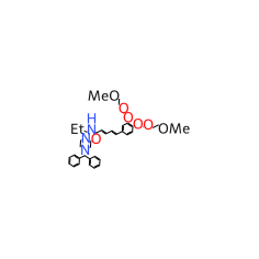 CCC(NC(=O)C=CC=Cc1ccc(OCOCCOC)c(OCOCCOC)c1)N1CCN(C(c2ccccc2)c2ccccc2)CC1